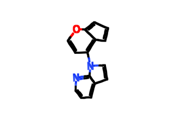 c1cc2occc(-n3ccc4cccnc43)c-2c1